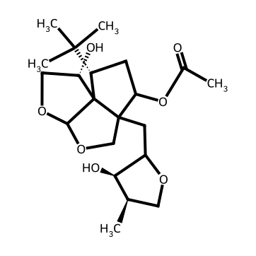 CC(=O)OC1C[C@@H](C(C)(C)C)C23C(OC[C@@H]2O)OCC13CC1OC[C@@H](C)[C@H]1O